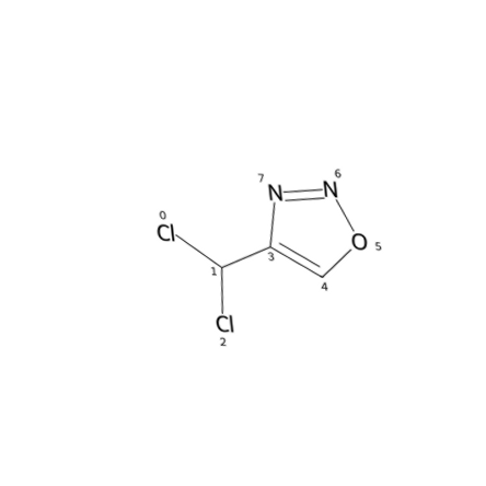 ClC(Cl)c1conn1